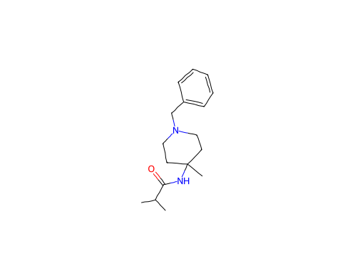 CC(C)C(=O)NC1(C)CCN(Cc2ccccc2)CC1